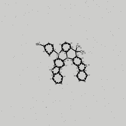 CC(C)(C)c1ccc(N2c3cc4sc5ccccc5c4cc3B3c4cc5c(cc4C(C)(C)c4cccc2c43)sc2ccccc25)cc1